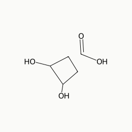 O=CO.OC1CCC1O